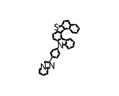 c1ccc2c(c1)ccc1sc3ccc4c(c5ccccc5n4-c4ccc(-c5cn6ccccc6n5)cc4)c3c12